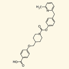 Cc1cccc(Cc2ccc(OC(=O)N3CCC(COc4ccc(C(=O)O)cc4)CC3)cc2)n1